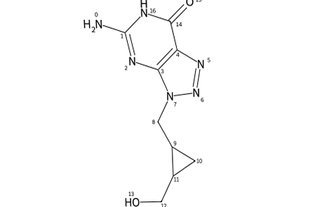 Nc1nc2c(nnn2CC2CC2CO)c(=O)[nH]1